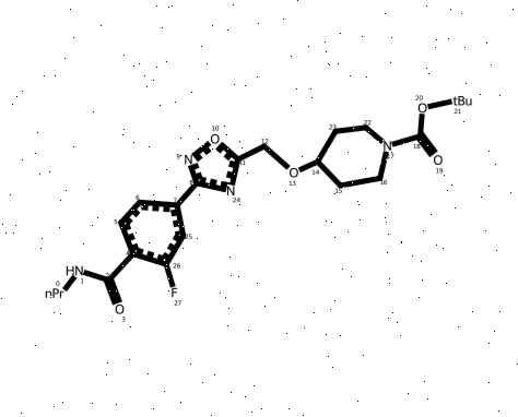 CCCNC(=O)c1ccc(-c2noc(COC3CCN(C(=O)OC(C)(C)C)CC3)n2)cc1F